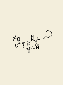 CC(C)(C)OC(=O)N1C[C@H](NC(=O)OCc2ccccc2)[C@H](O)[C@@H](F)C1